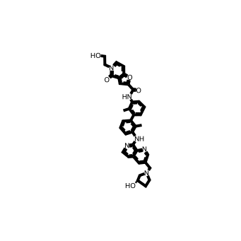 Cc1c(NC(=O)c2cc3c(=O)n(CCO)ccc3o2)cccc1-c1cccc(Nc2nccc3cc(CN4CC[C@@H](O)C4)cnc23)c1C